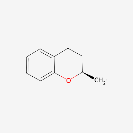 [CH2][C@@H]1CCc2ccccc2O1